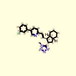 Cn1nnnc1[C@H]1C[C@H]2CCCC[C@H]2[C@@H]1/C=C/c1ccc(-c2cccc(F)c2)cn1